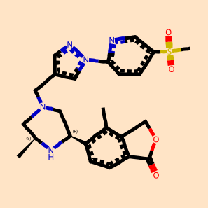 Cc1c([C@@H]2CN(Cc3cnn(-c4ccc(S(C)(=O)=O)cn4)c3)C[C@H](C)N2)ccc2c1COC2=O